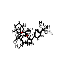 CC(=O)c1c([C@@H]2C[C@H]3CC[C@@H](C2)N3C(=O)c2cc[nH]c2)nc2c(-c3ccc(C(C)(C)O)nc3)cnn2c1N